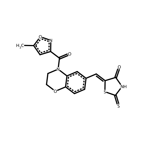 Cc1cc(C(=O)N2CCOc3ccc(/C=C4\SC(=S)NC4=O)cc32)no1